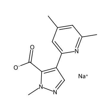 Cc1cc(C)nc(-c2cnn(C)c2C(=O)[O-])c1.[Na+]